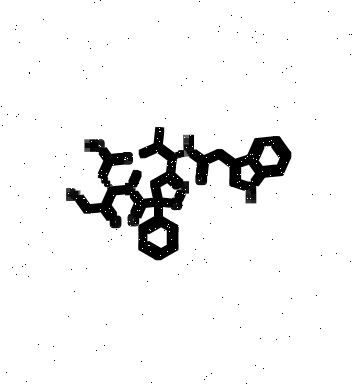 CC(C)[C@H](NC(=O)Cc1c[nH]c2ccccc12)C1=NOC(C(=O)N(C)[C@@H](CC(=O)O)C(=O)CBr)(c2ccccc2)C1